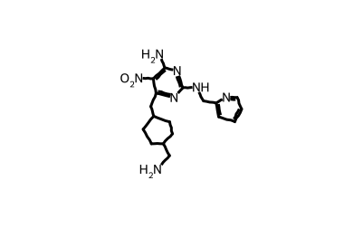 NCC1CCC(Cc2nc(NCc3ccccn3)nc(N)c2[N+](=O)[O-])CC1